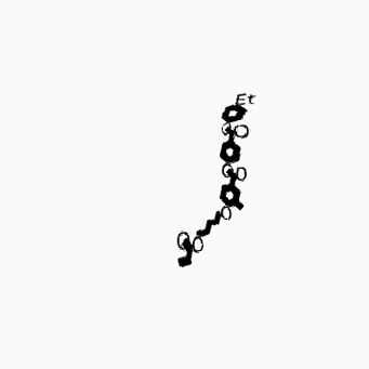 C=CC(=O)OCCCCCOc1ccc(C(=O)Oc2ccc(C(=O)Oc3ccc(CC)cc3)cc2)cc1C